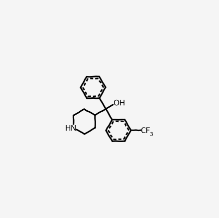 OC(c1ccccc1)(c1cccc(C(F)(F)F)c1)C1CCNCC1